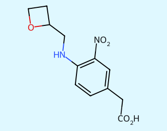 O=C(O)Cc1ccc(NCC2CCO2)c([N+](=O)[O-])c1